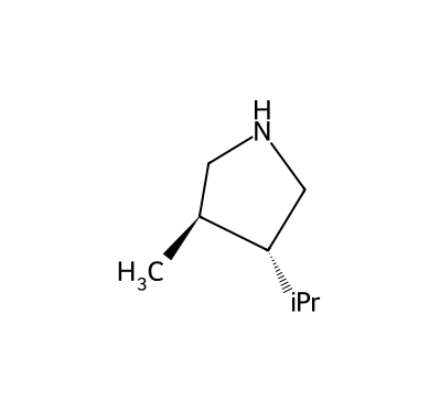 CC(C)[C@H]1CNC[C@@H]1C